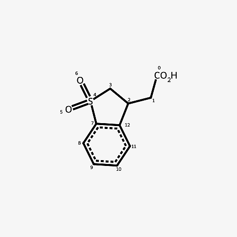 O=C(O)CC1CS(=O)(=O)c2ccccc21